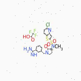 CN([C@H]1CCN(Cc2cccc(C(=N)N)c2)C1=O)S(=O)(=O)c1cc2nc(Cl)ccc2s1.O=C(O)C(F)(F)F